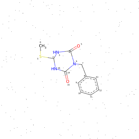 CSC1NC(=O)N(Cc2ccccc2)C(=O)N1